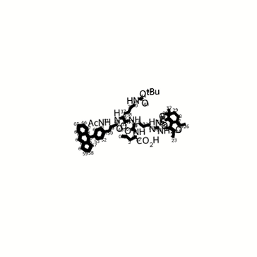 C=CC[C@H](NC(=O)[C@@H](CCCNC(N)=NS(=O)(=O)C1=C2C(C)=C(C)OC(C)=C2CCC1(C)C)NC(=O)[C@@H](CCCCNC(=O)OC(C)(C)C)NC(=O)[C@H](Cc1ccc(-c2c3ccccc3cc3ccccc23)cc1)NC(C)=O)C(=O)O